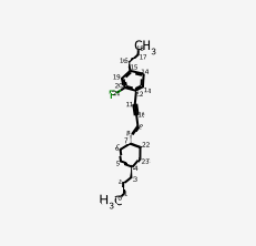 CCCC[C@H]1CC[C@H](/C=C/C#Cc2ccc(CCC)cc2F)CC1